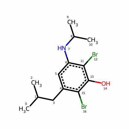 CC(C)Cc1cc(NC(C)C)c(Br)c(O)c1Br